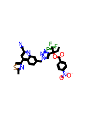 CCC(OC(=O)c1ccc([N+](=O)[O-])cc1)(c1cn(Cc2ccc3c(-c4csc(C)n4)cc(C#N)nc3c2)nn1)C(F)(F)F